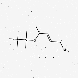 CC(/C=C/CN)O[Si](C)(C)C(C)(C)C